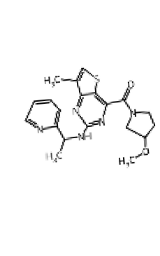 COC1CCN(C(=O)c2nc(NC(C)c3ccccn3)nc3c(C)csc23)C1